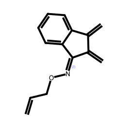 C=CCO/N=C1/C(=C)C(=C)c2ccccc21